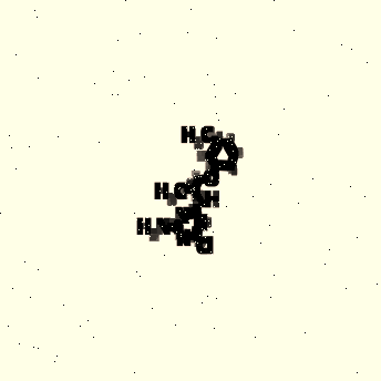 Cc1cccc(OCC(C)Nc2nc(N)nc(Cl)n2)c1